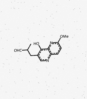 COc1ccc2ncc(CC(C)C=O)c(O)c2n1